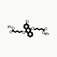 CCc1ccc2c(OCCCCC(=O)OC(C)C)c3ccccc3c(OCCCCC(=O)OC(C)C)c2c1